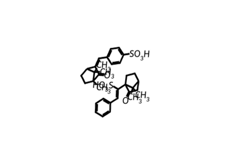 CC1(C)C2CCC1(C(=Cc1ccccc1)S(=O)(=O)O)C(=O)C2.CC12CCC(C(=Cc3ccc(S(=O)(=O)O)cc3)C1=O)C2(C)C